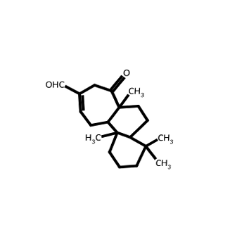 CC1(C)CCCC2(C)C1CCC1(C)C(=O)CC(C=O)=CCC12